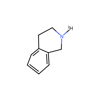 [2H]N1CCc2ccccc2C1